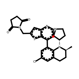 C[C@H]1CCc2cc(Cl)cc(-c3ccnc4cc(CN5C(=O)CCC5=O)sc34)c2N1[C@H]1CCNC1